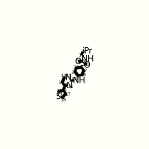 CC(C)CNS(=O)(=O)c1ccc(Nc2nccc(-c3ccsc3)n2)cc1